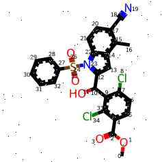 COC(=O)c1ccc(Cl)c(C(O)c2cc3c(C)c(C#N)ccc3n2S(=O)(=O)c2ccccc2)c1Cl